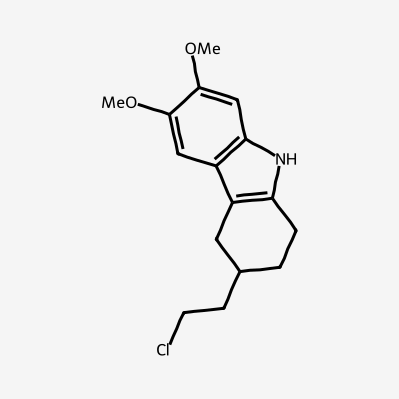 COc1cc2[nH]c3c(c2cc1OC)CC(CCCl)CC3